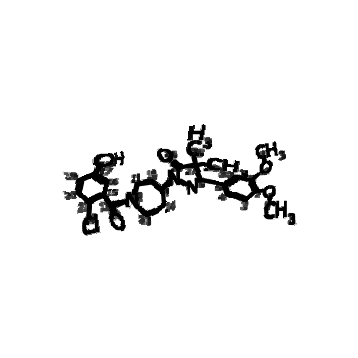 COc1ccc(C2=NN(C3CCN(C(=O)c4cc(O)ccc4Cl)CC3)C(=O)C2(C)C)cc1OC